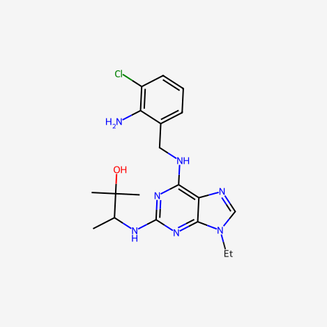 CCn1cnc2c(NCc3cccc(Cl)c3N)nc(NC(C)C(C)(C)O)nc21